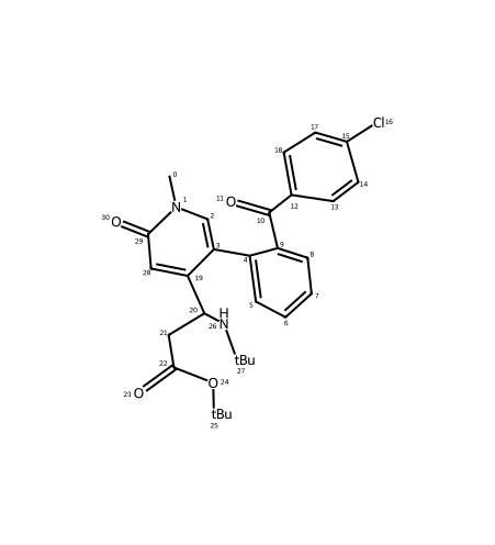 Cn1cc(-c2ccccc2C(=O)c2ccc(Cl)cc2)c(C(CC(=O)OC(C)(C)C)NC(C)(C)C)cc1=O